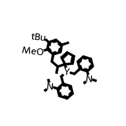 COc1c(CC(C)[C]2([Y]([CH2]c3ccccc3N(C)C)[CH2]c3ccccc3N(C)C)C=CC=C2)cc(C)cc1C(C)(C)C